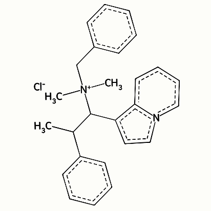 CC(c1ccccc1)C(c1ccn2ccccc12)[N+](C)(C)Cc1ccccc1.[Cl-]